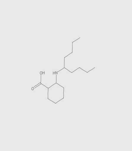 CCCCC(CCCC)NC1CCCCC1C(=O)O